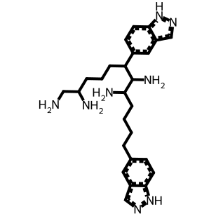 NCC(N)CCCC(c1ccc2[nH]ncc2c1)C(N)C(N)CCCCc1ccc2[nH]ncc2c1